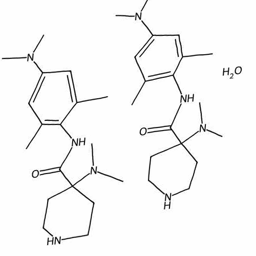 Cc1cc(N(C)C)cc(C)c1NC(=O)C1(N(C)C)CCNCC1.Cc1cc(N(C)C)cc(C)c1NC(=O)C1(N(C)C)CCNCC1.O